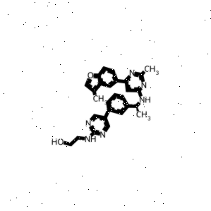 Cc1nc(N[C@@H](C)c2cccc(-c3cnc(NCCO)nc3)c2)cc(-c2ccc3occ(C)c3c2)n1